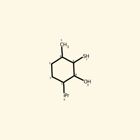 CC(C)C1CCC(C)C(S)C1O